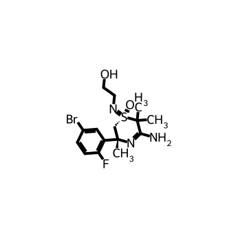 CC1(C)C(N)=N[C@](C)(c2cc(Br)ccc2F)C[S@@]1(=O)=NCCO